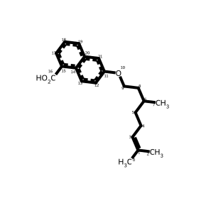 CC(C)=CCCC(C)CCOc1ccc2c(C(=O)O)cccc2c1